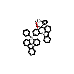 c1ccc([Si](c2ccccc2)(c2ccc3c(c2)-n2c4ccccc4c4cccc(c42)C32c3ccccc3Oc3ccccc32)c2cccc3c2oc2ccccc23)cc1